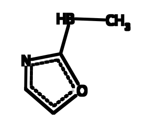 CBc1ncco1